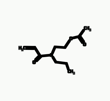 C=CC(=O)N(CCC)CCOC(C)=O